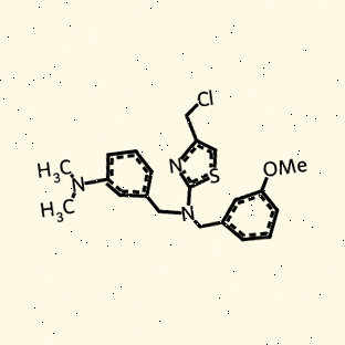 COc1cccc(CN(Cc2cccc(N(C)C)c2)c2nc(CCl)cs2)c1